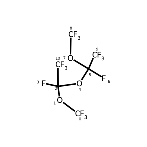 FC(F)(F)OC(F)(OC(F)(OC(F)(F)F)C(F)(F)F)C(F)(F)F